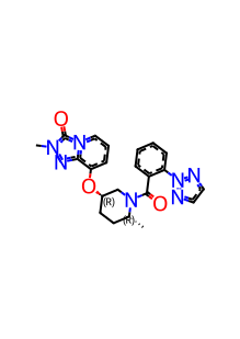 C[C@@H]1CC[C@@H](Oc2cccn3c(=O)n(C)nc23)CN1C(=O)c1ccccc1-n1nccn1